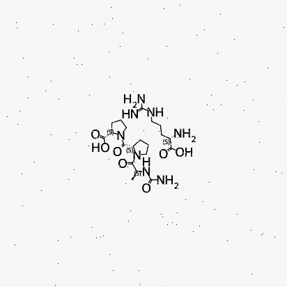 C[C@H](NC(N)=O)C(=O)N1CCC[C@H]1C(=O)N1CCC[C@H]1C(=O)O.N=C(N)NCCC[C@H](N)C(=O)O